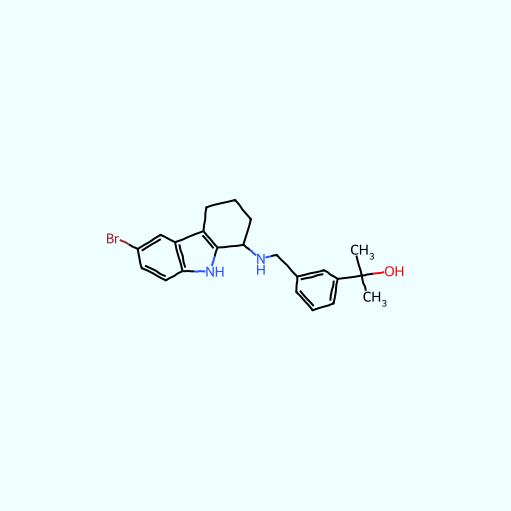 CC(C)(O)c1cccc(CNC2CCCc3c2[nH]c2ccc(Br)cc32)c1